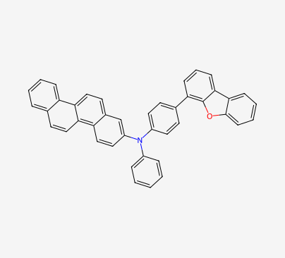 c1ccc(N(c2ccc(-c3cccc4c3oc3ccccc34)cc2)c2ccc3c(ccc4c5ccccc5ccc34)c2)cc1